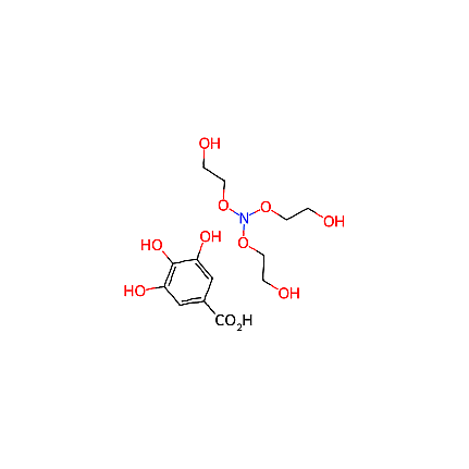 O=C(O)c1cc(O)c(O)c(O)c1.OCCON(OCCO)OCCO